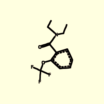 CCN(CC)C(=O)c1ccccc1OC(F)(F)F